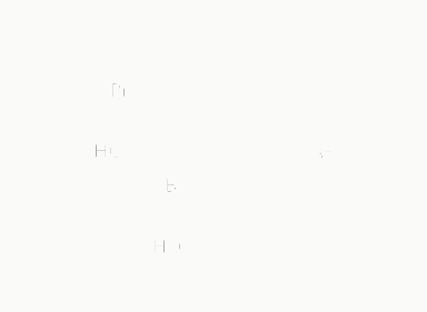 Oc1ccc2cc(Br)ccc2c1Br.Oc1ccc2ccccc2c1Br